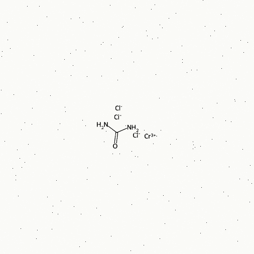 NC(N)=O.[Cl-].[Cl-].[Cl-].[Cr+3]